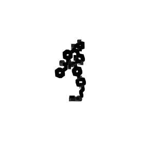 COCCCN1CCN(c2ccc(Nc3nccc(-c4c(-c5cccc(NC(=O)Cc6ccccc6)c5)nc5sccn45)n3)cc2)CC1